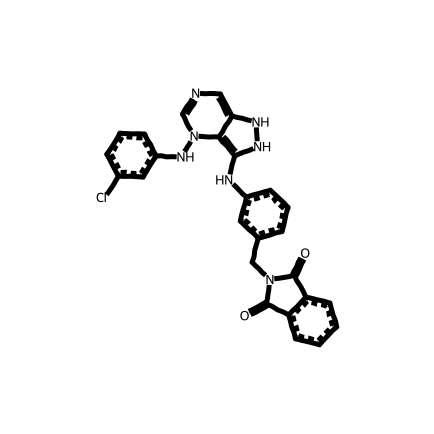 O=C1c2ccccc2C(=O)N1Cc1cccc(NC2=C3C(=CN=CN3Nc3cccc(Cl)c3)NN2)c1